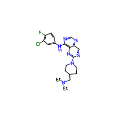 CCN(CC)CC1CCN(c2ncc3ncnc(Nc4ccc(F)c(Cl)c4)c3n2)CC1